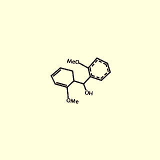 COC1=CC=CCC1C(O)c1ccccc1OC